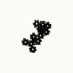 c1ccc(-c2ccc(N(c3ccc(-c4cccc5c4c4ccccc4n5-c4cc(-c5ccccc5)cc(-c5ccccc5)c4)cc3)c3cccc4c3C3(c5ccccc5-c5ccccc53)c3ccccc3-4)cc2)cc1